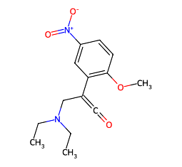 CCN(CC)CC(=C=O)c1cc([N+](=O)[O-])ccc1OC